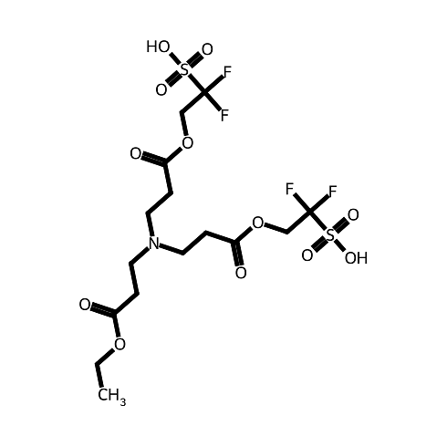 CCOC(=O)CCN(CCC(=O)OCC(F)(F)S(=O)(=O)O)CCC(=O)OCC(F)(F)S(=O)(=O)O